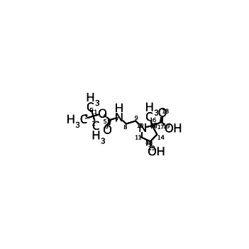 CC(C)(C)OC(=O)NCCN1C[C@H](O)C[C@@]1(C)C(=O)O